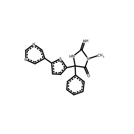 CN1C(=N)NC(c2ccccc2)(c2ccc(-c3cncnc3)s2)C1=O